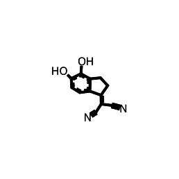 N#CC(C#N)=C1CCc2c1ccc(O)c2O